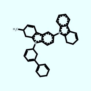 CC1C=Cc2c(n(C3C=CC=C(C4=CCCC=C4)C3)c3ccc(-n4c5c(c6ccccc64)C=CCC5)cc23)C1